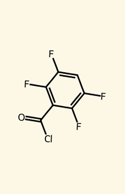 O=C(Cl)c1c(F)c(F)cc(F)c1F